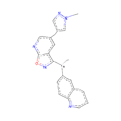 C[C@H](c1ccc2ncccc2c1)c1noc2ncc(-c3cnn(C)c3)cc12